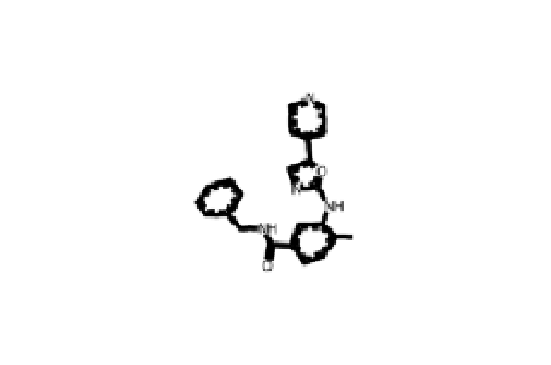 Cc1ccc(C(=O)NCc2ccccc2)cc1Nc1ncc(-c2ccncc2)o1